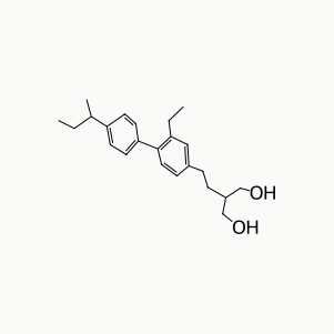 CCc1cc(CCC(CO)CO)ccc1-c1ccc(C(C)CC)cc1